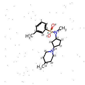 Cc1cccc(S(=O)(=O)N(C)C2CCC(N3CCC(C)CC3)C2)c1